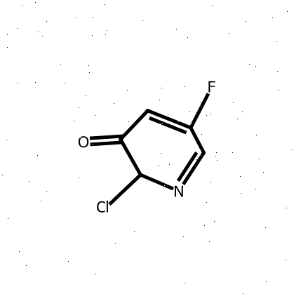 O=C1C=C(F)C=NC1Cl